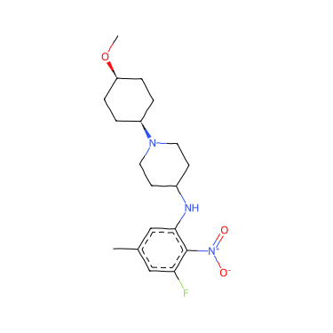 CO[C@H]1CC[C@@H](N2CCC(Nc3cc(C)cc(F)c3[N+](=O)[O-])CC2)CC1